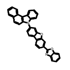 c1ccc2c(c1)ccc1c2c2ccccc2n1-c1ccc2c(c1)oc1cc(-c3nc4ccccc4o3)ccc12